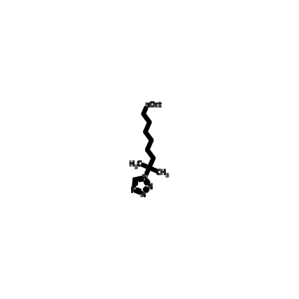 CCCCCCCCCCCCCCC(C)(C)n1cnnn1